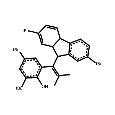 CC(C)=C(c1cc(C(C)(C)C)cc(C(C)(C)C)c1O)C1c2cc(C(C)(C)C)ccc2C2C=CC(C(C)(C)C)=CC21